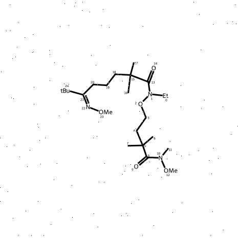 CCN(OCCC(C)(C)C(=O)N(C)OC)C(=O)C(C)(C)CCC/C(=N\OC)C(C)(C)C